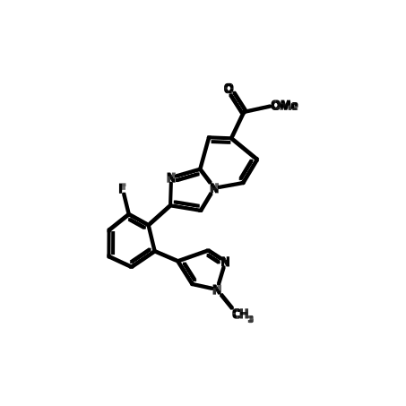 COC(=O)c1ccn2cc(-c3c(F)cccc3-c3cnn(C)c3)nc2c1